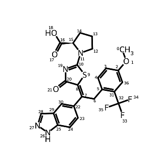 COc1ccc(CC(=C2SC(N3CCC[C@@H]3C(=O)O)=NC2=O)c2ccc3[nH]ncc3c2)c(C(F)(F)F)c1